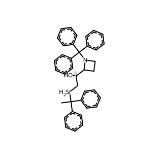 CC([SiH2]C[C@@H](O)C1CCN1C(c1ccccc1)(c1ccccc1)c1ccccc1)(c1ccccc1)c1ccccc1